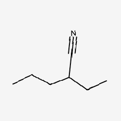 CCCC(C#N)CC